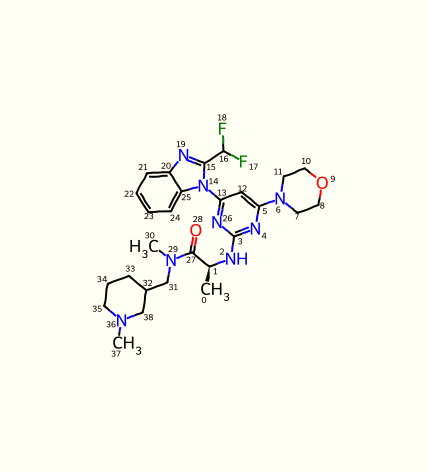 C[C@H](Nc1nc(N2CCOCC2)cc(-n2c(C(F)F)nc3ccccc32)n1)C(=O)N(C)CC1CCCN(C)C1